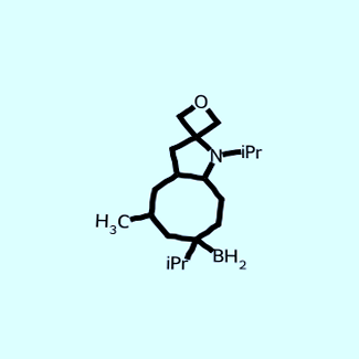 BC1(C(C)C)CCC2C(CC(C)C1)CC1(COC1)N2C(C)C